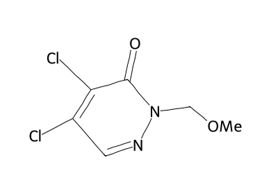 COCn1ncc(Cl)c(Cl)c1=O